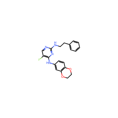 Fc1cnc(NCCc2ccccc2)nc1Nc1ccc2c(c1)OCCO2